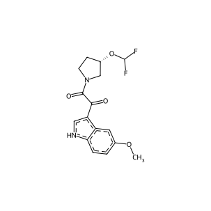 COc1ccc2[nH]cc(C(=O)C(=O)N3CC[C@H](OC(F)F)C3)c2c1